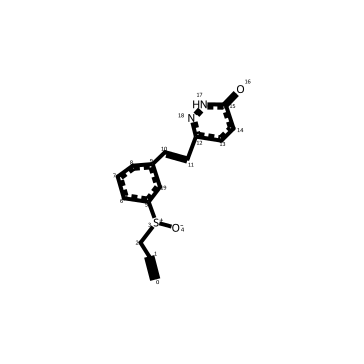 C#CC[S+]([O-])c1cccc(C=Cc2ccc(=O)[nH]n2)c1